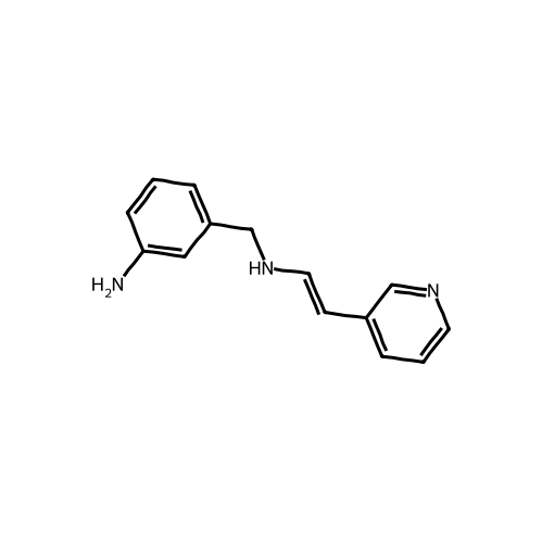 Nc1cccc(CNC=Cc2cccnc2)c1